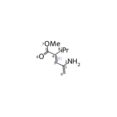 C=C(N)/C=C(/C(=O)OC)C(C)C